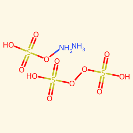 N.NOS(=O)(=O)O.O=S(=O)(O)OOS(=O)(=O)O